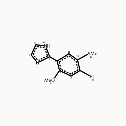 CCc1cc(OC)c(-c2ncc[nH]2)cc1SC